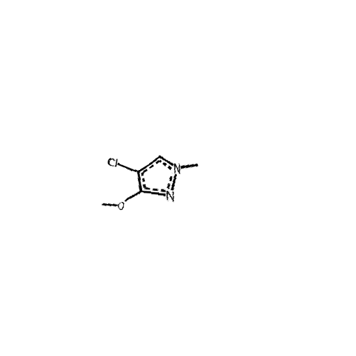 COc1nn(C)cc1Cl